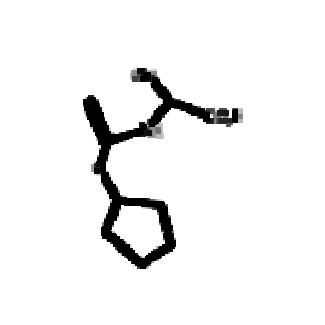 C=C(NC(C(=O)O)C(C)(C)C)OC1CCCC1